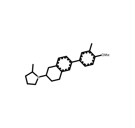 COc1ccc(-c2ccc3c(c2)CCC(N2CCCC2C)C3)cc1C